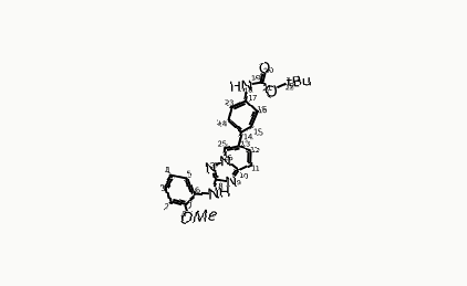 COc1ccccc1Nc1nc2ccc(-c3ccc(NC(=O)OC(C)(C)C)cc3)cn2n1